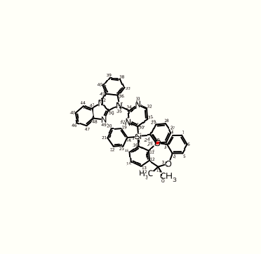 CC1(C)Oc2ccccc2Oc2c1cccc2[Si](c1ccccc1)(c1ccccc1)c1ccnc(-n2c3ccccc3n3c4ccccc4nc23)n1